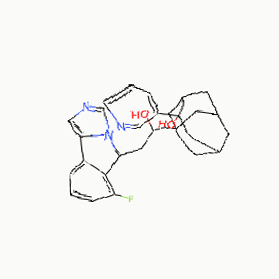 OC(CC1c2c(F)cccc2-c2cncn21)C12CC3CC(C1)C(O)(c1cccnc1)C(C3)C2